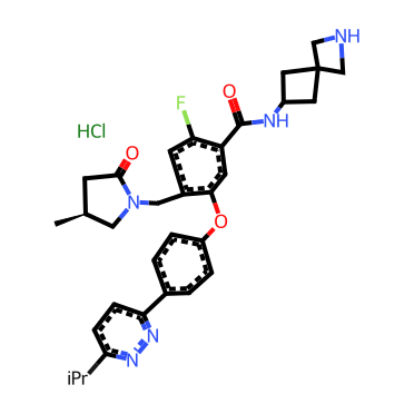 CC(C)c1ccc(-c2ccc(Oc3cc(C(=O)NC4CC5(CNC5)C4)c(F)cc3CN3C[C@@H](C)CC3=O)cc2)nn1.Cl